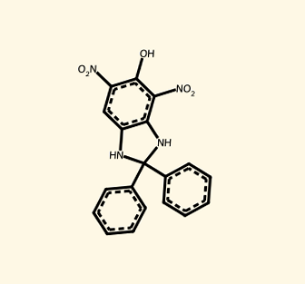 O=[N+]([O-])c1cc2c(c([N+](=O)[O-])c1O)NC(c1ccccc1)(c1ccccc1)N2